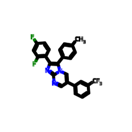 Cc1ccc(-c2c(-c3ccc(F)cc3F)nc3ncc(-c4cccc(C(F)(F)F)c4)cn23)cc1